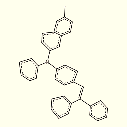 Cc1ccc2cc(N(c3ccccc3)c3ccc(C=C(c4ccccc4)c4ccccc4)cc3)ccc2c1